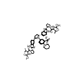 COC(=O)N[C@H](C(=O)N1CCC[C@H]1c1nc2cc([C@H]3CC[C@H](c4ccc5[nH]c([C@@H]6CCCN6C(=O)[C@@H](NC(=O)O)C(C)C)nc5c4)N3c3ccc(N4CCCCC4)c(C(F)(F)F)c3)ccc2[nH]1)C(C)C